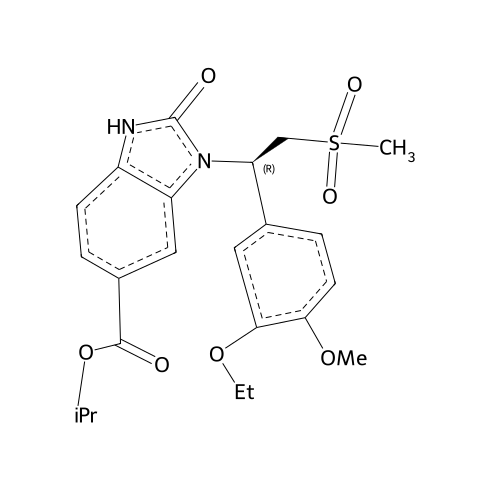 CCOc1cc([C@H](CS(C)(=O)=O)n2c(=O)[nH]c3ccc(C(=O)OC(C)C)cc32)ccc1OC